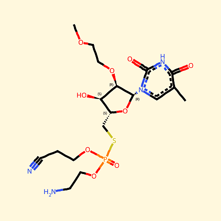 COCCO[C@@H]1[C@H](O)[C@@H](CSP(=O)(OCCN)OCCC#N)O[C@H]1n1cc(C)c(=O)[nH]c1=O